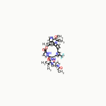 C=CC(=O)N1CC[C@H](C(=O)N(C)C(C(=O)N[C@H]2Cc3cc(C(F)F)cc(n3)-c3ccc4c(c3)c(c(-c3cccnc3[C@H](C)OC)n4CC)CC(C)(C)COC(=O)[C@@H]3CCCN(N3)C2=O)C(C)C)C1